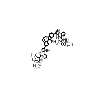 COC(=O)N[C@H](C(=O)N1CCC[C@H]1c1ncc(-c2ccc3c(c2)OCCn2c-3c(F)c3cc(-c4cnc([C@@H]5CCCN5C(=O)[C@@H](NC(=O)CO)C(C)C)[nH]4)ccc32)[nH]1)C(C)C